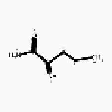 C[CH]CC(=N)C(N)=O